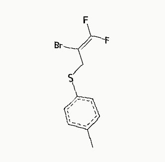 Cc1ccc(SCC(Br)=C(F)F)cc1